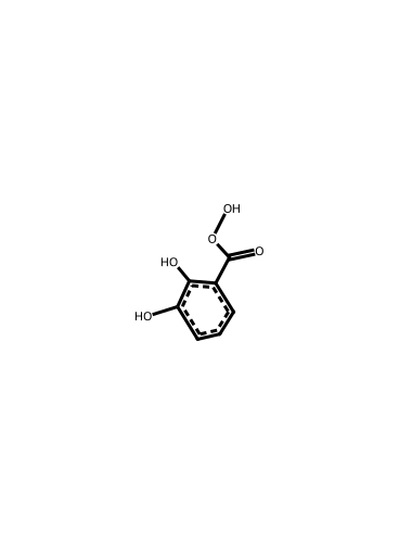 O=C(OO)c1cccc(O)c1O